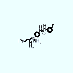 CC(C)CC/C(N)=C/N(N)c1ccc(NC(=O)Nc2cccc(F)c2)cc1